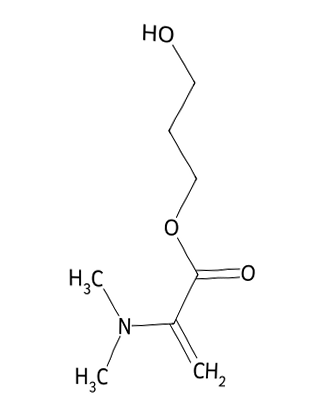 C=C(C(=O)OCCCO)N(C)C